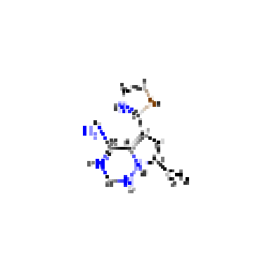 Cc1cc(-c2nccs2)c2c(N)ncnn12